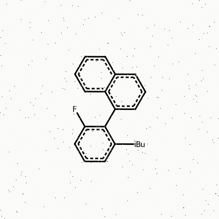 CCC(C)c1[c]ccc(F)c1-c1cccc2ccccc12